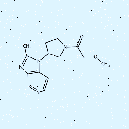 COCC(=O)N1CCC(n2c(C)nc3cnccc32)C1